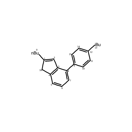 CCCCC1=Cc2c(cccc2-c2ccc(C(C)CC)cc2)[CH]1